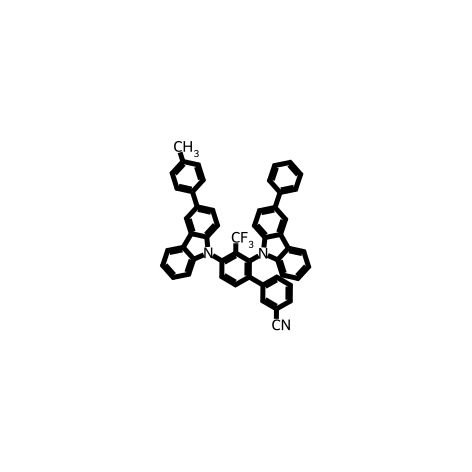 Cc1ccc(-c2ccc3c(c2)c2ccccc2n3-c2ccc(-c3cccc(C#N)c3)c(-n3c4ccccc4c4cc(-c5ccccc5)ccc43)c2C(F)(F)F)cc1